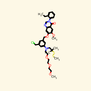 CCc1ccccc1-n1cnc2cc(OCc3cc(CCl)cc(N(CCOCCOCCOC)CC(C)(C)SSC)c3)c(OC)cc2c1=O